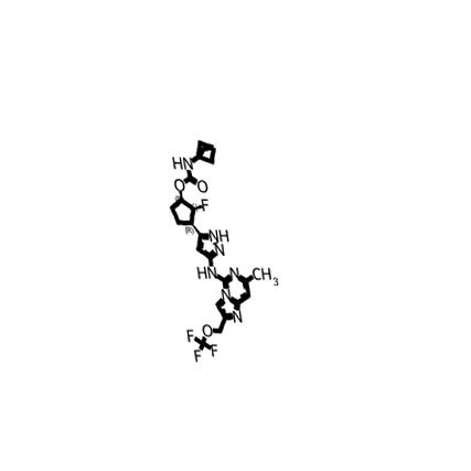 Cc1cc2nc(COC(F)(F)F)cn2c(Nc2cc([C@H]3CC[C@@H](OC(=O)NC45CC(C4)C5)[C@H]3F)[nH]n2)n1